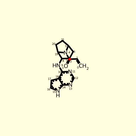 C=CC(=O)N1C2CCC(Nc3ncnc4[nH]ccc34)C1CC2